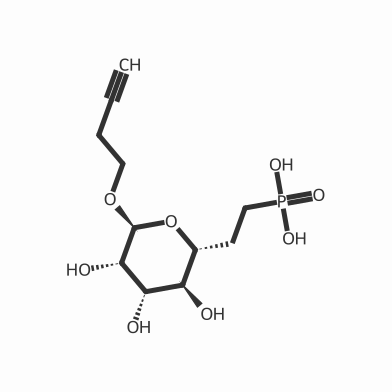 C#CCCO[C@H]1O[C@H](CCP(=O)(O)O)[C@@H](O)[C@H](O)[C@@H]1O